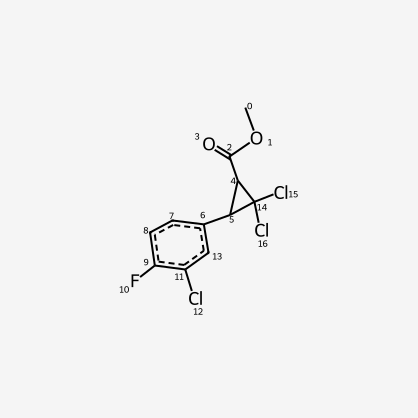 COC(=O)C1C(c2ccc(F)c(Cl)c2)C1(Cl)Cl